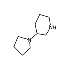 C1CNCC(N2CCCC2)C1